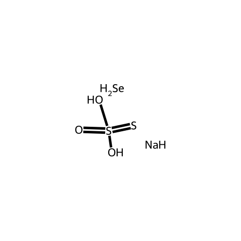 O=S(O)(O)=S.[NaH].[SeH2]